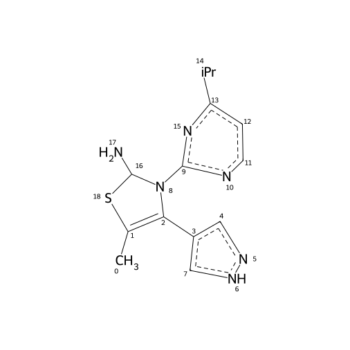 CC1=C(c2cn[nH]c2)N(c2nccc(C(C)C)n2)C(N)S1